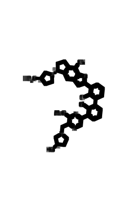 COc1nc(-c2cccc(-c3cccc(-c4cc5cc6c(c(C#N)c5o4)CC[C@H]6N4CC[C@@H](C(=O)O)C4)c3Cl)c2Cl)cnc1CN1CC[C@@H](O)C1